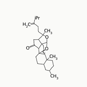 C=C(CCC1(C)OC2OC34CCC5CC(C)CCC5(C)C3CCC23C1CC(=O)C43)C(C)C